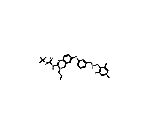 CCCN1Cc2cc(Oc3cccc(CNCc4c(C)cc(C)cc4C)c3)ccc2N=C1NC(=O)OC(C)(C)C